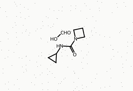 O=C(NC1CC1)N1CCC1.O=CO